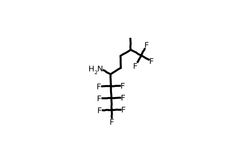 CC(CCC(N)C(F)(F)C(F)(F)C(F)(F)F)C(F)(F)F